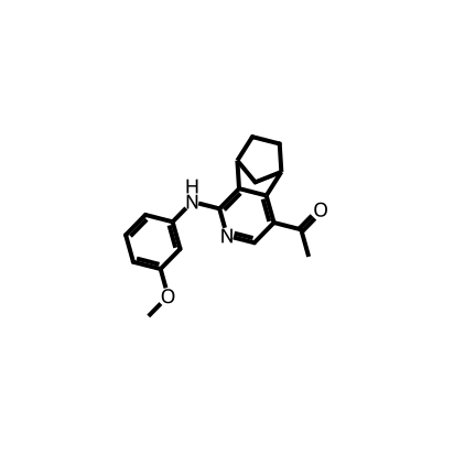 COc1cccc(Nc2ncc(C(C)=O)c3c2C2CCC3C2)c1